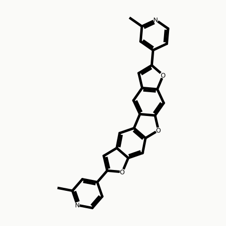 Cc1cc(-c2cc3cc4c(cc3o2)oc2cc3oc(-c5ccnc(C)c5)cc3cc24)ccn1